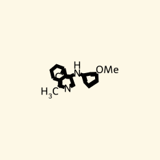 COc1cccc(Nc2cnc(C)c3c2C2CCC3CC2)c1